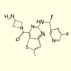 Cc1cc2nc(N[C@@H](C)c3cncc(F)c3)nc(C(=O)N3CC(N)C3)c2s1